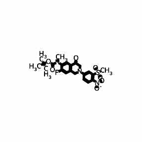 CN(C(=O)OC(C)(C)C)c1cc2c(cc1F)CN(c1ccc([N+](=O)[O-])c(S(C)(=O)=O)c1)CC2=O